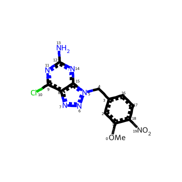 COc1cc(Cn2nnc3c(Cl)nc(N)nc32)ccc1[N+](=O)[O-]